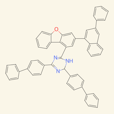 c1ccc(-c2ccc(C3=NC(c4ccc(-c5ccccc5)cc4)NC(c4cc(-c5cc(-c6ccccc6)cc6ccccc56)cc5oc6ccccc6c45)=N3)cc2)cc1